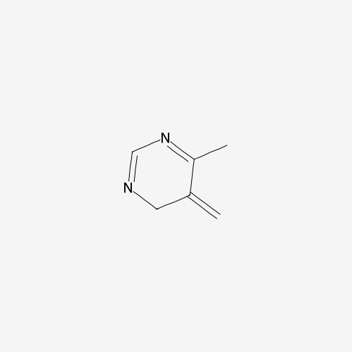 C=C1CN=CN=C1C